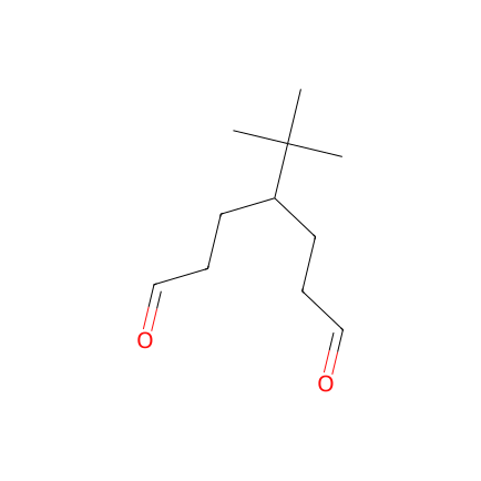 CC(C)(C)C(CCC=O)CCC=O